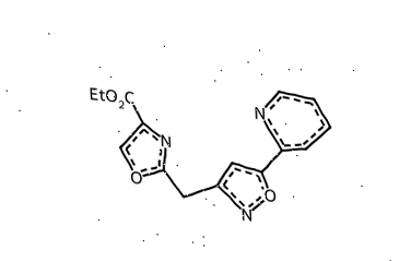 CCOC(=O)c1coc(Cc2cc(-c3ccccn3)on2)n1